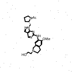 COc1cc2c(cc1Nc1ncc3cnn(C[C@@H]4CCCN4C(C)=O)c3n1)CN(CCO)CC2